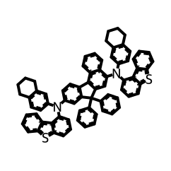 c1ccc(C2(c3ccccc3)c3cc(N(c4ccc5c(c4)CCCC5)c4cccc5sc6ccccc6c45)ccc3-c3c2cc(N(c2ccc4c(c2)CCCC4)c2cccc4sc5ccccc5c24)c2ccccc32)cc1